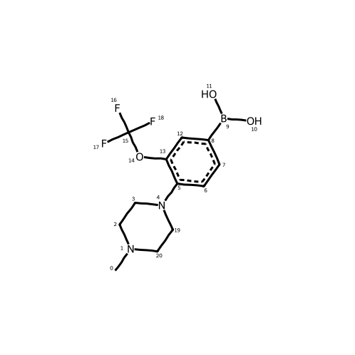 CN1CCN(c2ccc(B(O)O)cc2OC(F)(F)F)CC1